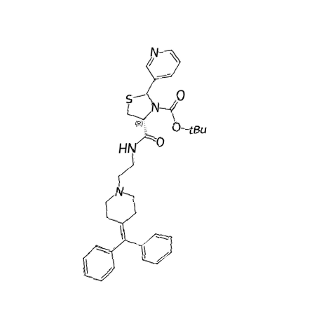 CC(C)(C)OC(=O)N1C(c2cccnc2)SC[C@H]1C(=O)NCCN1CCC(=C(c2ccccc2)c2ccccc2)CC1